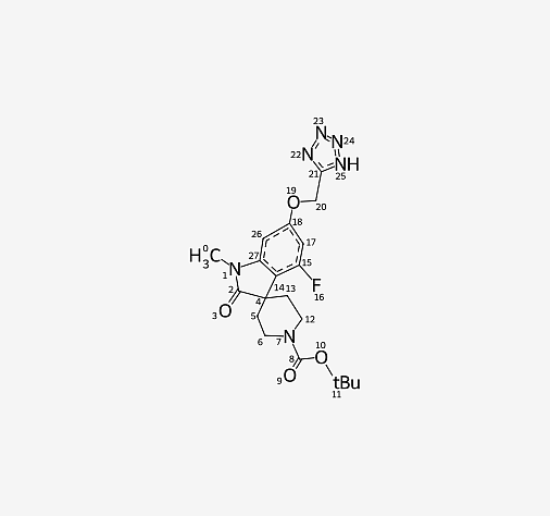 CN1C(=O)C2(CCN(C(=O)OC(C)(C)C)CC2)c2c(F)cc(OCc3nnn[nH]3)cc21